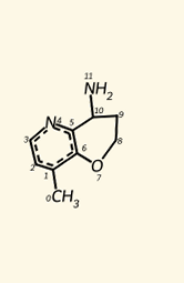 Cc1ccnc2c1OCCC2N